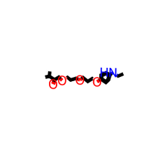 CCNc1ccc(OCCCOCCCOCC(=O)C(C)C)cc1